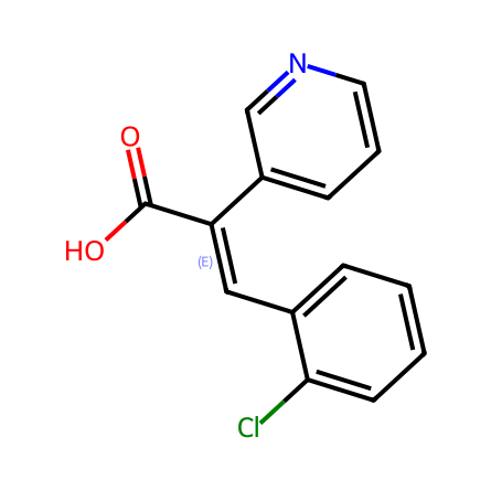 O=C(O)/C(=C/c1ccccc1Cl)c1cccnc1